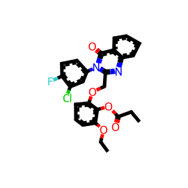 CCOc1cccc(OCc2nc3ccccc3c(=O)n2-c2ccc(F)c(Cl)c2)c1OC(=O)CC